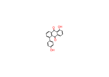 O=C1c2cccc(-c3ccc(O)cc3)c2C(=O)c2cccc(O)c21